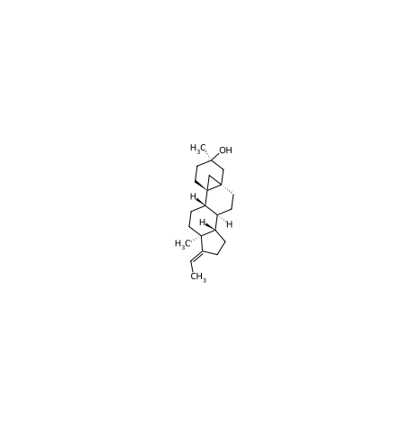 CC=C1CC[C@H]2[C@@H]3CC[C@]45C[C@](C)(O)CC[C@]4(C5)[C@H]3CC[C@]12C